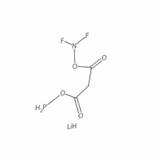 O=C(CC(=O)ON(F)F)OP.[LiH]